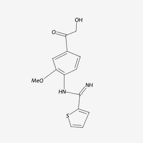 COc1cc(C(=O)CO)ccc1NC(=N)c1cccs1